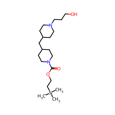 C[Si](C)(C)CCOC(=O)N1CCC(CC2CCN(CCCO)CC2)CC1